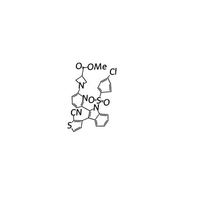 COC(=O)C1CN(c2cccc(-c3c(-c4ccsc4C#N)c4ccccc4n3S(=O)(=O)c3ccc(Cl)cc3)n2)C1